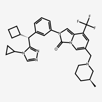 C[C@H]1CCCN(Cc2cc(C(F)(F)F)c3cn(-c4cccc([C@H](c5nncn5C5CC5)C5CCC5)c4)c(=O)n3c2)C1